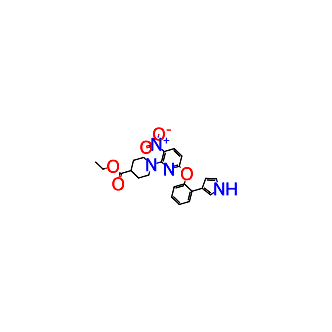 CCOC(=O)C1CCN(c2nc(Oc3ccccc3-c3cc[nH]c3)ccc2[N+](=O)[O-])CC1